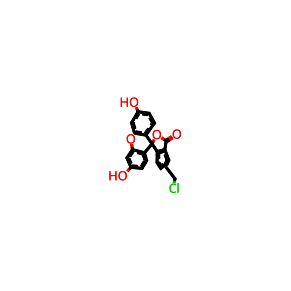 O=C1OC2(c3ccc(O)cc3Oc3cc(O)ccc32)c2ccc(CCl)cc21